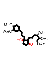 COc1ccc(CCCC2(O)C=CC(=O)C2=CCCC(OC(C)=O)C(COC(C)=O)OC(C)=O)cc1OC